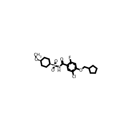 CO[C@H]1CC[C@@H](S(=O)(=O)NC(=O)c2cc(Cl)c(OCC3CCCC3)cc2F)CC1